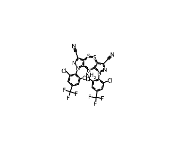 N#Cc1nn(-c2c(Cl)cc(C(F)(F)F)cc2Cl)c2c1ssc1c(C#N)nn(-c3c(Cl)cc(C(F)(F)F)cc3Cl)c1n2N